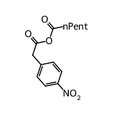 CCCCCC(=O)OC(=O)Cc1ccc([N+](=O)[O-])cc1